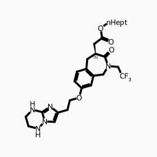 CCCCCCCOC(=O)C[C@@H]1Cc2ccc(OCCc3cn4c(n3)NCCN4)cc2CN(CC(F)(F)F)C1=O